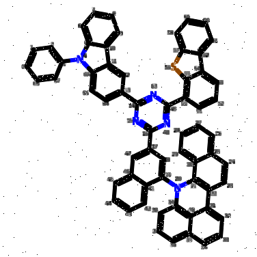 c1ccc(-n2c3ccccc3c3cc(-c4nc(-c5cc(N6c7c(ccc8ccccc78)-c7cccc8cccc6c78)c6ccccc6c5)nc(-c5cccc6c5sc5ccccc56)n4)ccc32)cc1